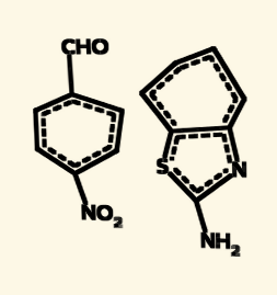 Nc1nc2ccccc2s1.O=Cc1ccc([N+](=O)[O-])cc1